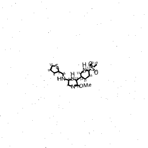 COC1=NCC(NCC2CCCS2)NC1C1CCC(S(C)(=O)=O)NC1